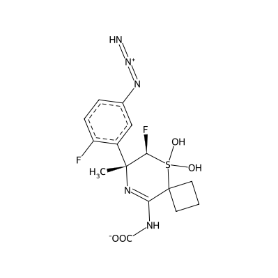 C[C@]1(c2cc(N=[N+]=N)ccc2F)N=C(NC(=O)[O-])C2(CCC2)S(O)(O)[C@@H]1F